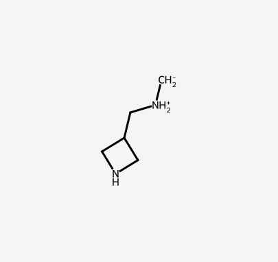 [CH2-][NH2+]CC1CNC1